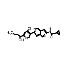 CCCC(O)c1cc(Cl)c(-c2cc3cnc(NC(=O)C4CC4)cc3cn2)cn1